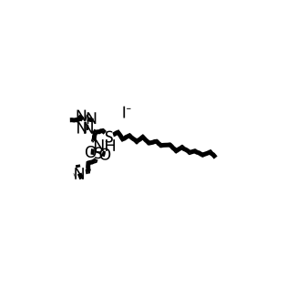 CCCCCCCCCCCCCCCCSCC(CNS(=O)(=O)CCC[N+](C)(C)C)n1nnc(C)n1.[I-]